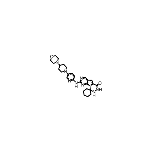 O=C1NNC2(CCCCC2)n2c1cc1cnc(Nc3ccc(N4CCC(N5CCOCC5)CC4)cn3)nc12